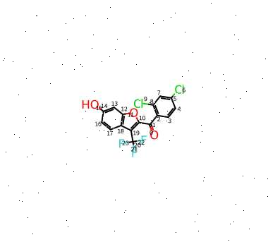 O=C(c1ccc(Cl)cc1Cl)c1oc2cc(O)ccc2c1C(F)(F)F